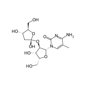 Cc1cn([C@@H]2O[C@H](CO)[C@H](O)[C@H]2O[C@]2(O)C[C@H](O)[C@@H](CO)O2)c(=O)nc1N